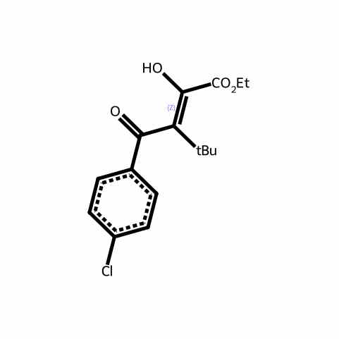 CCOC(=O)/C(O)=C(/C(=O)c1ccc(Cl)cc1)C(C)(C)C